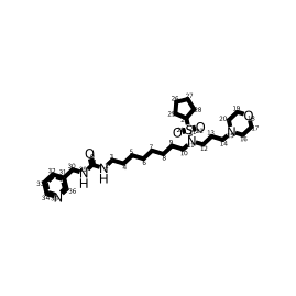 O=C(NCCCCCCCCN(CCCN1CCOCC1)S(=O)(=O)C1CCCC1)NCc1cccnc1